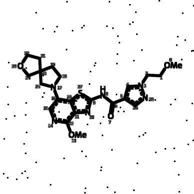 COCCn1cc(C(=O)Nc2nc3c(OC)ncc(N4CCC5(CCOC5)C4)c3s2)cn1